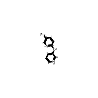 CC(C)c1ccc(Oc2cccnc2)nc1